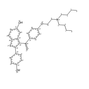 CCCCN(CCCC)CCOc1ccc(C(=O)c2c(-c3ccc(O)cc3)sc3ccc(O)cc23)cc1